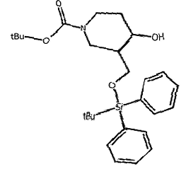 CC(C)(C)OC(=O)N1CCC(O)C(CO[Si](c2ccccc2)(c2ccccc2)C(C)(C)C)C1